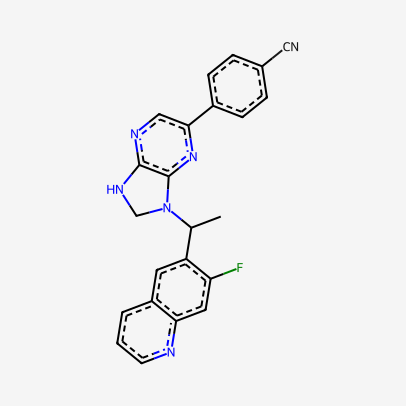 CC(c1cc2cccnc2cc1F)N1CNc2ncc(-c3ccc(C#N)cc3)nc21